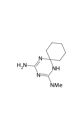 CNC1=NC(N)=NC2(CCCCC2)N1